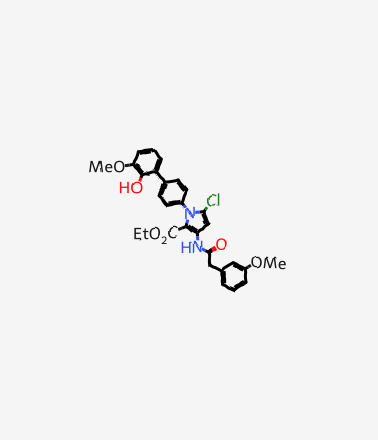 CCOC(=O)c1c(NC(=O)Cc2cccc(OC)c2)cc(Cl)n1-c1ccc(-c2cccc(OC)c2O)cc1